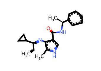 C=C/C(=N\c1c(C(=O)N[C@@H](C)c2ccccc2)c[nH]c1C)C1CC1